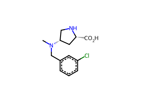 CN(Cc1cccc(Cl)c1)[C@@H]1CN[C@H](C(=O)O)C1